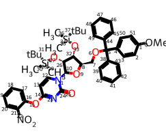 COc1ccc(C(OC[C@H]2O[C@@H](n3ccc(Oc4ccccc4[N+](=O)[O-])nc3=O)[C@H](O[Si](C)(C)C(C)(C)C)[C@@H]2O[Si](C)(C)C(C)(C)C)(c2ccccc2)c2ccccc2)cc1